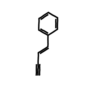 [C]#CC=Cc1ccccc1